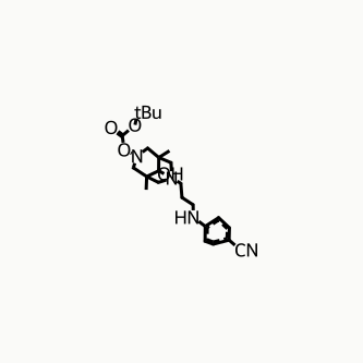 CC(C)(C)OC(=O)ON1CC2(C)CN(CCCNc3ccc(C#N)cc3)CC(C)(C1)C2O